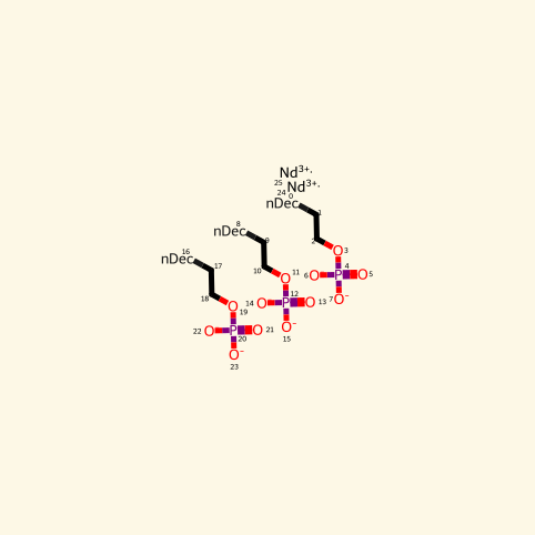 CCCCCCCCCCCCOP(=O)([O-])[O-].CCCCCCCCCCCCOP(=O)([O-])[O-].CCCCCCCCCCCCOP(=O)([O-])[O-].[Nd+3].[Nd+3]